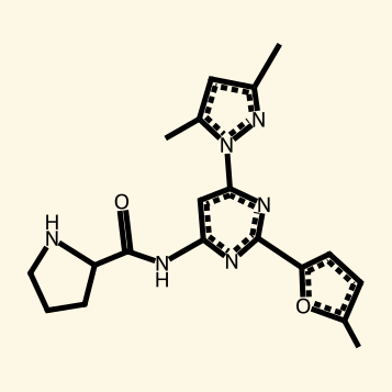 Cc1cc(C)n(-c2cc(NC(=O)C3CCCN3)nc(-c3ccc(C)o3)n2)n1